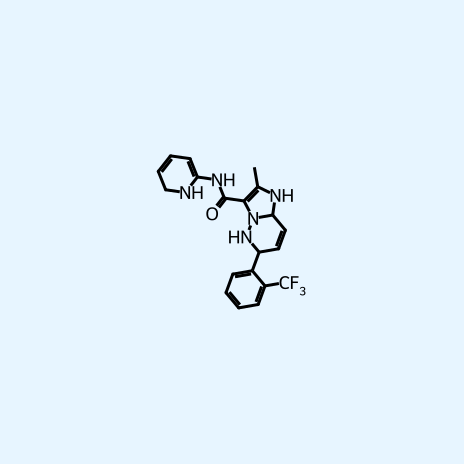 CC1=C(C(=O)NC2=CC=CCN2)N2NC(c3ccccc3C(F)(F)F)C=CC2N1